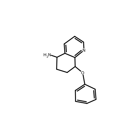 NC1CCC(Oc2ccccc2)c2ncccc21